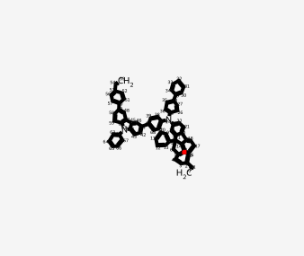 C=Cc1ccc(CC2(c3ccccc3)c3ccccc3-c3ccc(N(c4ccc(-c5ccccc5)cc4)c4ccc(-c5ccc6c(c5)c5cc(-c7ccc(C=C)cc7)ccc5n6-c5ccccc5)cc4)cc32)cc1